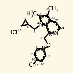 Cc1c(C)n(CC2CC2)c2c(COc3ccc(Cl)cc3)nccc12.Cl